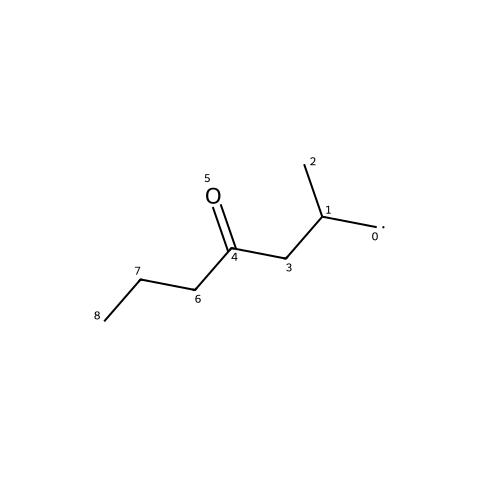 [CH2]C(C)CC(=O)CCC